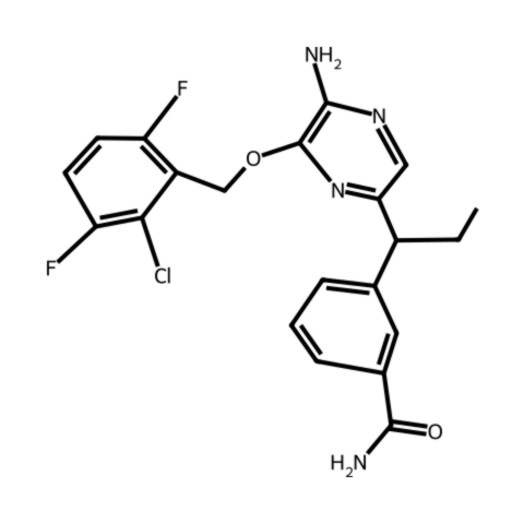 CCC(c1cccc(C(N)=O)c1)c1cnc(N)c(OCc2c(F)ccc(F)c2Cl)n1